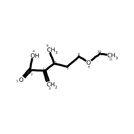 C=C(C(=O)O)C(C)CCOCC